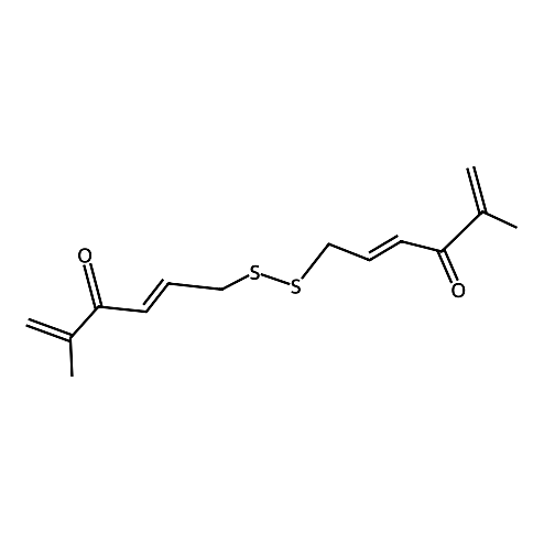 C=C(C)C(=O)C=CCSSCC=CC(=O)C(=C)C